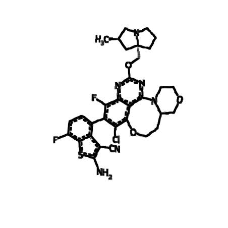 C[C@H]1CN2CCC[C@@]2(COc2nc3c4c(c(Cl)c(-c5ccc(F)c6sc(N)c(C#N)c56)c(F)c4n2)OCCC2COCCN32)C1